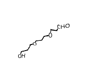 O=CCCOCCCOCCCO